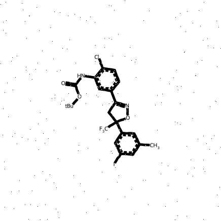 Cc1cc(I)cc(C2(C(F)(F)F)CC(c3ccc(Cl)c(NC(=O)OC(C)(C)C)c3)=NO2)c1